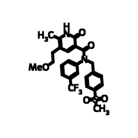 COCCc1cc(C(=O)N(Cc2ccc(S(C)(=O)=O)cc2)c2cccc(C(F)(F)F)c2)c(=O)[nH]c1C